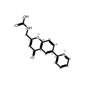 O=C(O)NCc1cc(=O)c2cc(-c3ccccn3)ccc2o1